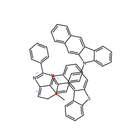 CC1C/C=C(c2ccc3ccccc3c2)/N=C(c2ccccc2)\N=C/1c1cc(-n2c3ccccc3c3cc4ccccc4cc32)cc2sc3ccccc3c12